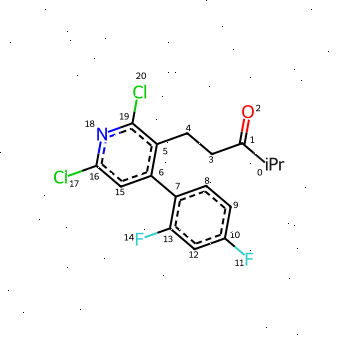 CC(C)C(=O)CCc1c(-c2ccc(F)cc2F)cc(Cl)nc1Cl